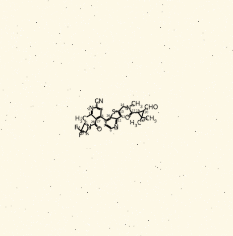 Cc1nc(C#N)cc(-c2ccnc3cc(CN(C)C(=O)C4C(C=O)C4(C)C)sc23)c1C(=O)N1CC(F)(F)C1